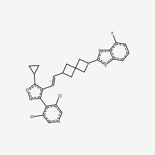 Fc1cccc2sc(N3CC4(CC(/C=C/c5c(-c6c(Cl)cncc6Cl)noc5C5CC5)C4)C3)nc12